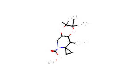 CCCCOC(=O)N1CC2OC(C)(OC)C(C)(OC)OC2C(C=O)C12CC2